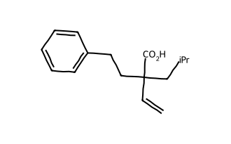 C=CC(CCc1ccccc1)(CC(C)C)C(=O)O